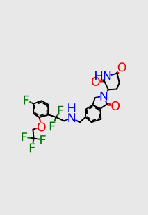 O=C1CCC(N2Cc3cc(CNCC(F)(F)c4ccc(F)cc4OCC(F)(F)F)ccc3C2=O)C(=O)N1